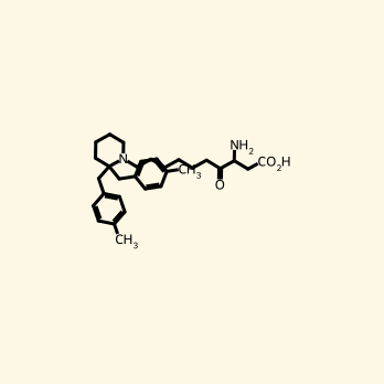 Cc1ccc(CC2(Cc3ccc(C)cc3)CCCCN2CCCCCCC(=O)C(N)CC(=O)O)cc1